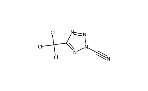 N#Cn1nnc(C(Cl)(Cl)Cl)n1